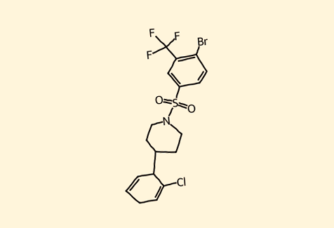 O=S(=O)(c1ccc(Br)c(C(F)(F)F)c1)N1CCC(C2C=CCC=C2Cl)CC1